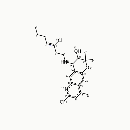 CCC/C=C(\Cl)CCNC1c2cc3nc(Cl)cc(C)c3cc2OC(C)(C)C1O